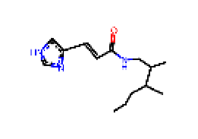 CCCC(C)C(C)CNC(=O)C=Cc1c[nH]cn1